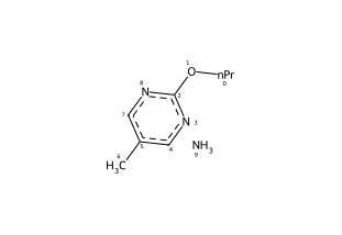 CCCOc1ncc(C)cn1.N